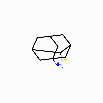 NC12CC3CC(C1)C(S)C(C3)C2